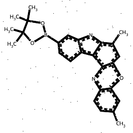 Cc1ccc2nc3c(cc(C)c4nc5cc(B6OC(C)(C)C(C)(C)O6)ccc5c43)oc2c1